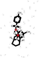 Cc1ccc(S(=O)(=O)Oc2nc(C)nc3c2C[C@@H]2CCC[C@H]3N2C(=O)OC(C)(C)C)cc1